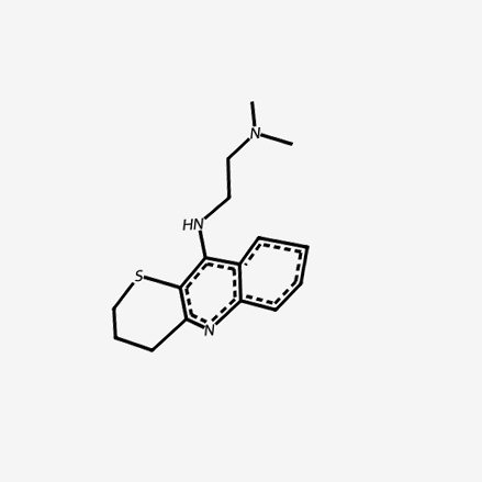 CN(C)CCNc1c2c(nc3ccccc13)CCCS2